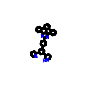 C1=CNCC(C2=CC(C3C=CC(c4nc5c6ccccc6c6cccc7c8ccccc8c(n4)c5c67)=CC3)=CC(c3ccccn3)C2)=C1